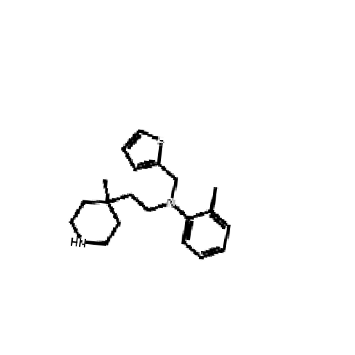 Cc1ccccc1N(CCC1(C)CCNCC1)Cc1cccs1